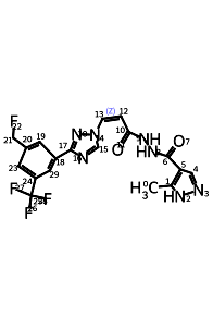 Cc1[nH]ncc1C(=O)NNC(=O)/C=C\n1cnc(-c2cc(CF)cc(C(F)(F)F)c2)n1